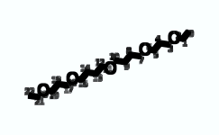 CCOCCCOCCCCOCCCCOCCCOCC